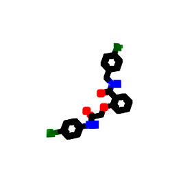 O=C(COc1ccccc1C(=O)NCc1ccc(Br)cc1)Nc1ccc(Br)cc1